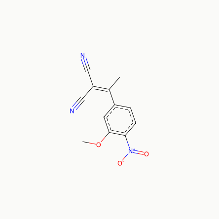 COc1cc(C(C)=C(C#N)C#N)ccc1[N+](=O)[O-]